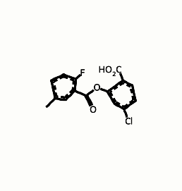 Cc1ccc(F)c(C(=O)Oc2cc(Cl)ccc2C(=O)O)c1